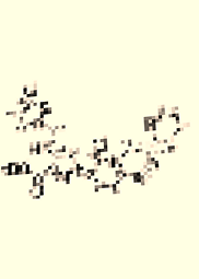 CC(C)(C)C(=O)n1nc(-c2ccc(=O)n(CC(=O)c3ccccn3)c2Cl)cc1NCc1ccc(Cl)s1